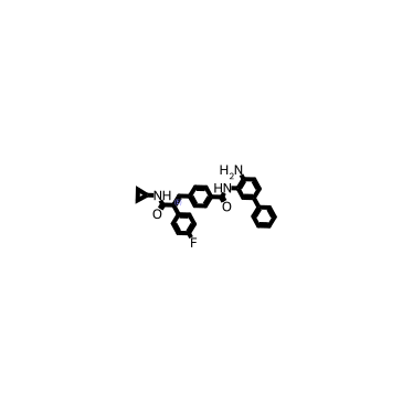 Nc1ccc(-c2ccccc2)cc1NC(=O)c1ccc(/C=C(/C(=O)NC2CC2)c2ccc(F)cc2)cc1